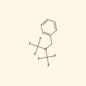 FC(F)(F)N(Cc1ccccc1)C(F)(F)F